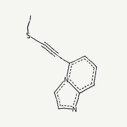 ISC#Cc1cccc2nccn12